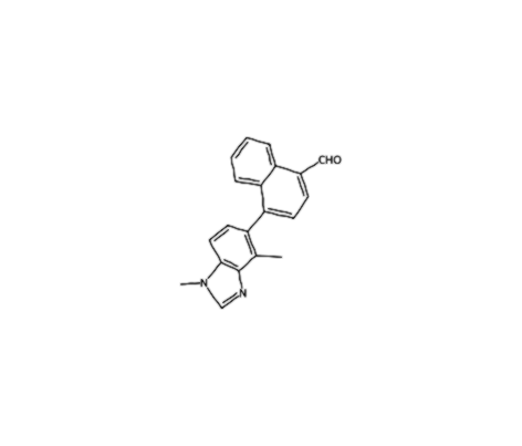 Cc1c(-c2ccc(C=O)c3ccccc23)ccc2c1ncn2C